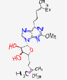 C=P(C)(C)CCC1O[C@@H](n2cnc3c(CC/C=C(/C)CC)nc(OC)nc32)[C@H](O)[C@@H]1O